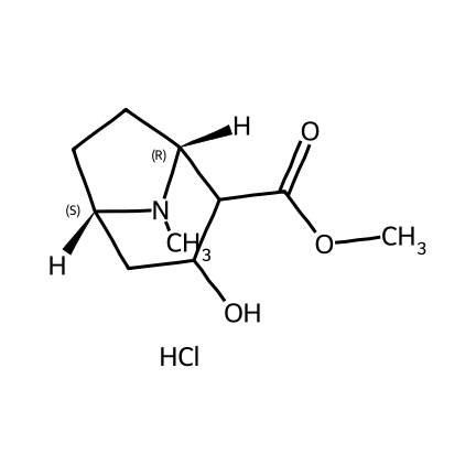 COC(=O)C1C(O)C[C@@H]2CC[C@H]1N2C.Cl